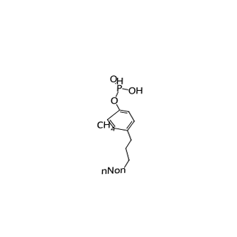 C.CCCCCCCCCCCCc1ccc(O[PH](=O)O)cc1